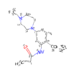 C=CC(=O)Nc1cc(N2CCN(C(F)(F)F)CC2)ccc1C(=O)OCC